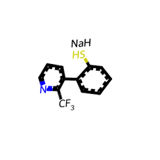 FC(F)(F)c1ncccc1-c1ccccc1S.[NaH]